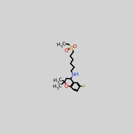 CCS(=O)(=O)CCCCCCNC1CC(C)(C)Oc2ccc(F)cc21